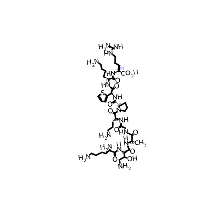 C[C@H](NC(=O)[C@H](NC(=O)C(N)CCCCN)C(O)CN)C(=O)NCC(=O)N[C@H](CCCN)C(=O)N1CCC[C@H]1C(=O)NC(C(=O)N[C@@H](CCCCN)C(=O)N/C(=C\CCNC(=N)N)C(=O)O)c1cccs1